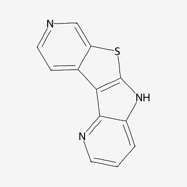 c1cnc2c(c1)[nH]c1sc3cnccc3c12